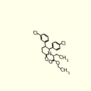 CCOC(=O)[C@H](CC)N1C(=O)CCC(c2cccc(Cl)c2)C1c1ccc(Cl)cc1